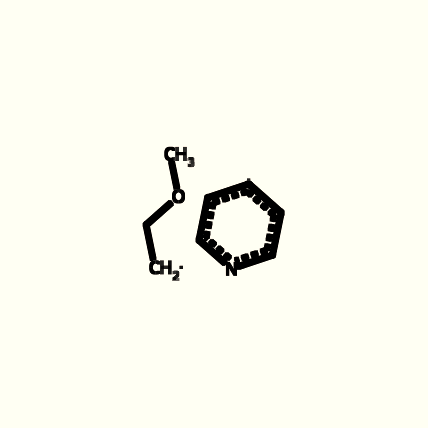 [CH2]COC.[c]1ccncc1